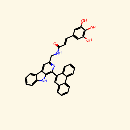 O=C(/C=C/c1cc(O)c(O)c(O)c1)NCc1cc2c([nH]c3ccccc32)c(-c2cc3ccccc3c3ccccc23)n1